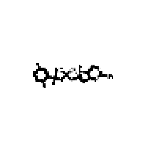 Cc1ccc(F)cc1C(C)(C)CC(O)(Cc1cc2nc(C(C)C)ncc2[nH]1)C(F)(F)F